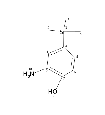 C[Si](C)(C)c1ccc(O)c(N)c1